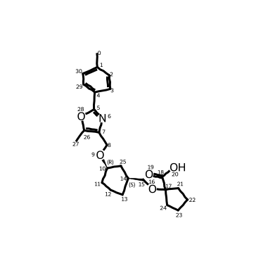 Cc1ccc(-c2nc(CO[C@@H]3CCC[C@H](COC4(C(=O)O)CCCC4)C3)c(C)o2)cc1